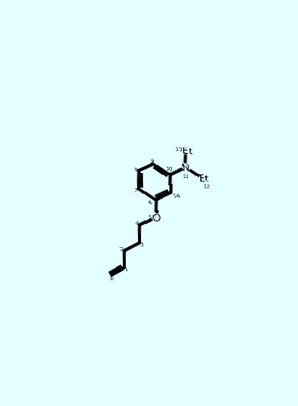 C=CCCCOc1cccc(N(CC)CC)c1